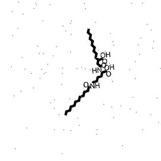 CCCCCCCCCCCC(=O)NCCCCC(NC(=O)CC(CCCCCCCCCC)C(=O)O)C(=O)O